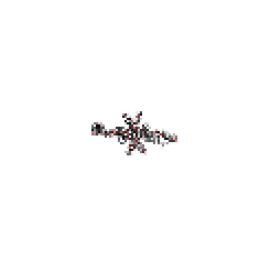 CO[SiH2]COCN1CCN(C(=O)CN2C(=O)c3cc(Oc4ccc(C(C)(C)C)cc4)c4c5c(Oc6ccc(C(C)(C)C)cc6)cc6c7c(cc(Oc8ccc(C(C)(C)C)cc8)c(c8c(Oc9ccc(C(C)(C)C)cc9)cc(c3c48)C2=O)c75)C(=O)N(CC(=O)N2CCN(COC[Si](OC)(OC)OC)CC2)C6=O)CC1